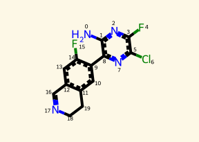 Nc1nc(F)c(Cl)nc1-c1cc2c(cc1F)C=NCC2